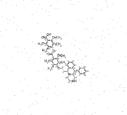 COc1c(C)c(OC(=O)c2c(C)c(C)c(OCCCN3CCNCC3C(c3ccccc3)c3ccccc3)c(C)c2OC)c(C)c(C)c1C(=O)O